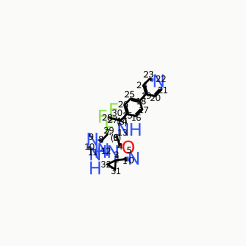 N#CC1(NC(=O)[C@H](Cc2nc[nH]n2)N[C@@H](c2ccc(-c3ccncc3)cc2)C(F)(F)F)CC1